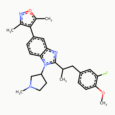 COc1ccc(CC(C)c2nc3cc(-c4c(C)noc4C)ccc3n2C2CCN(C)C2)cc1F